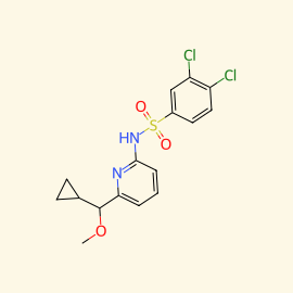 COC(c1cccc(NS(=O)(=O)c2ccc(Cl)c(Cl)c2)n1)C1CC1